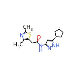 Cc1nc(C)c(CC(=O)Nc2cc([C@H]3C[CH]CC3)[nH]n2)s1